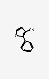 N#Cc1ccoc1-c1ccccc1